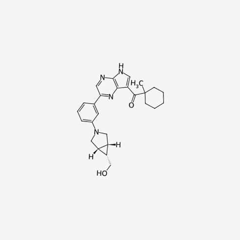 CC1(C(=O)c2c[nH]c3ncc(-c4cccc(N5C[C@@H]6[C@H](CO)[C@@H]6C5)c4)nc23)CCCCC1